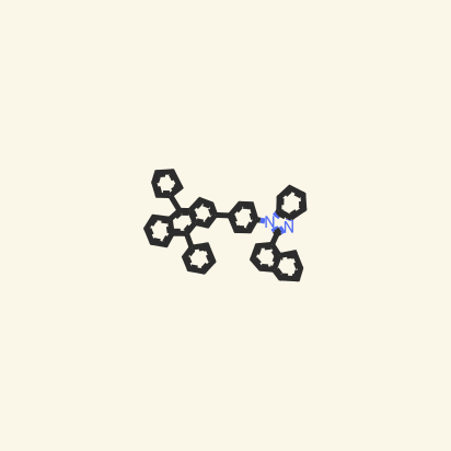 c1ccc(-c2c3ccccc3c(-c3ccccc3)c3cc(-c4ccc(-n5c(-c6cccc7ccccc67)nc6ccccc65)cc4)ccc23)cc1